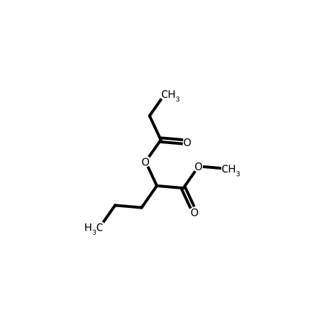 CCCC(OC(=O)CC)C(=O)OC